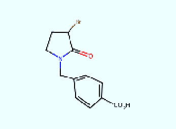 O=C(O)c1ccc(CN2CCC(Br)C2=O)cc1